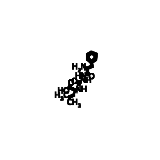 CC(C)C[C@H](NC(=O)NNC(=O)[C@@H](N)Cc1ccccc1)C(=O)O